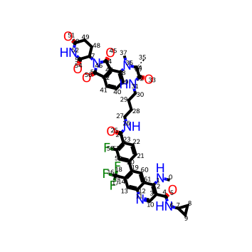 CNc1c(C(=O)NC2CC2)cnc2cc(C(F)(F)F)c(-c3ccc(C(=O)NCCCCNC(=O)[C@@H](C)N(C)c4cccc5c4C(=O)N(C4CCC(=O)NC4=O)C5=O)c(F)c3)cc12